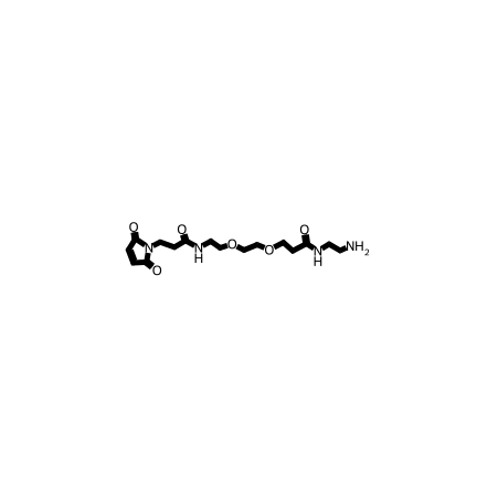 NCCNC(=O)CCOCCOCCNC(=O)CCN1C(=O)C=CC1=O